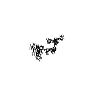 Cc1ccc(NC(=O)Nc2cc(CCC(=O)OCOC(=O)N(C)CCCOP(=O)(OCc3ccccc3)OCc3ccccc3)ccc2N(CC(C)C)CC(C)C)cc1